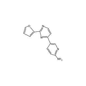 Nc1ccc(-c2ccnc(-c3ccco3)n2)cn1